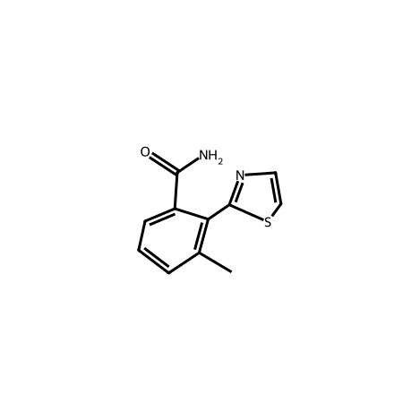 Cc1cccc(C(N)=O)c1-c1nccs1